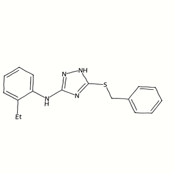 CCc1ccccc1Nc1n[nH]c(SCc2ccccc2)n1